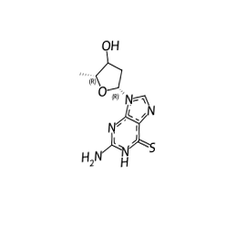 C[C@H]1O[C@@H](n2cnc3c(=S)[nH]c(N)nc32)CC1O